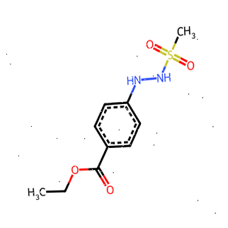 CCOC(=O)c1ccc(NNS(C)(=O)=O)cc1